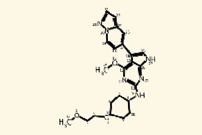 COCCO[C@H]1CC[C@@H](Nc2nc(OC)c3c(-c4ccn5nccc5c4)c[nH]c3n2)CC1